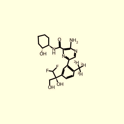 [2H]C([2H])([2H])c1ccc([C@](O)(CO)C(F)F)cc1-c1cnc(N)c(C(=O)N[C@@H]2CCCC[C@H]2O)n1